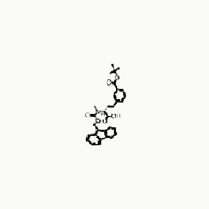 CN(C(=O)OCC1c2ccccc2-c2ccccc21)[C@H](CCc1cccc(C(=O)OC(C)(C)C)c1)C(=O)O